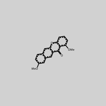 COc1ccc2cc3oc4cccc(OC)c4c(=O)c3cc2c1